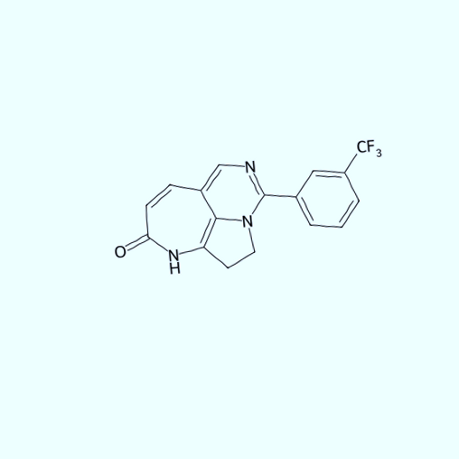 O=C1C=CC2=CN=C(c3cccc(C(F)(F)F)c3)N3CCC(=C23)N1